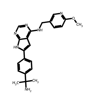 COc1ccc(CNc2ncnc3[nH]c(-c4ccc(C(C)(C)N)cc4)cc23)cn1